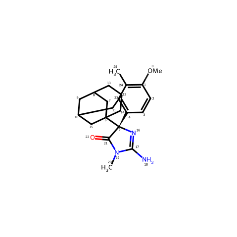 COc1ccc([C@@]2(C34CC5CC(CC(C5)C3)C4)N=C(N)N(C)C2=O)cc1C